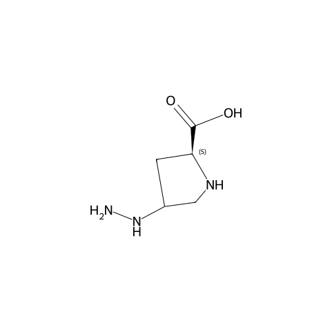 NNC1CN[C@H](C(=O)O)C1